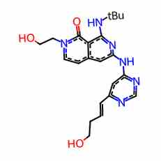 CC(C)(C)Nc1nc(Nc2cc(/C=C/CCO)ncn2)cc2ccn(CCO)c(=O)c12